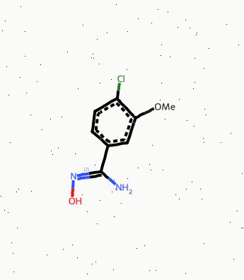 COc1cc(/C(N)=N/O)ccc1Cl